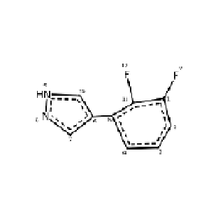 Fc1cccc(-c2cn[nH]c2)c1F